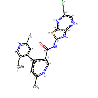 COc1cnc(C#N)cc1-c1cc(C)ncc1C(=O)Nc1nc2ncc(Br)nc2s1